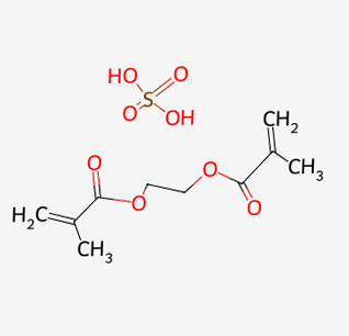 C=C(C)C(=O)OCCOC(=O)C(=C)C.O=S(=O)(O)O